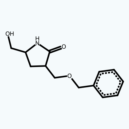 O=C1NC(CO)CC1COCc1ccccc1